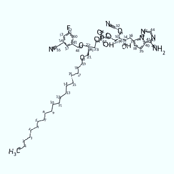 CCCCCCCCCCCCCCCCCCCCOC[C@H](COP(=O)(O)OC[C@@H](OC#N)[C@@H](O)Cc1ccc2c(N)ncnn12)OCc1cc(F)cc(C#N)c1